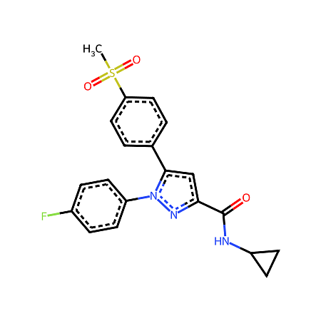 CS(=O)(=O)c1ccc(-c2cc(C(=O)NC3CC3)nn2-c2ccc(F)cc2)cc1